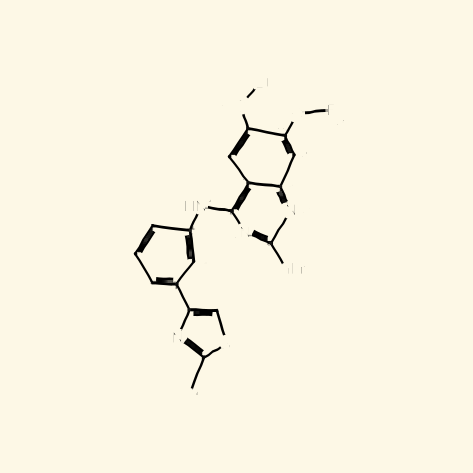 CCCc1nc(Nc2cccc(-c3csc(C)n3)c2)c2cc(OCC)c(OCC)cc2n1